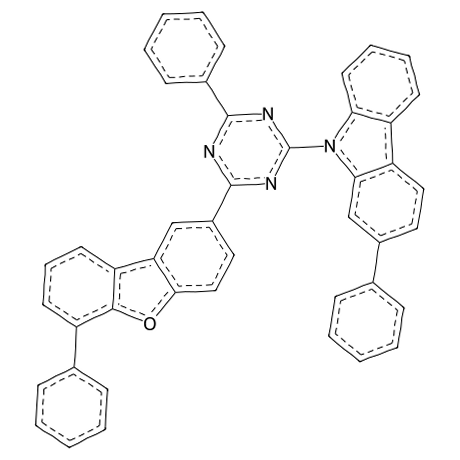 c1ccc(-c2ccc3c4ccccc4n(-c4nc(-c5ccccc5)nc(-c5ccc6oc7c(-c8ccccc8)cccc7c6c5)n4)c3c2)cc1